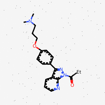 CCC(=O)n1nc(-c2ccc(OCCCN(C)C)cc2)c2cccnc21